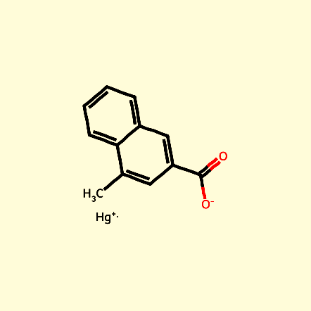 Cc1cc(C(=O)[O-])cc2ccccc12.[Hg+]